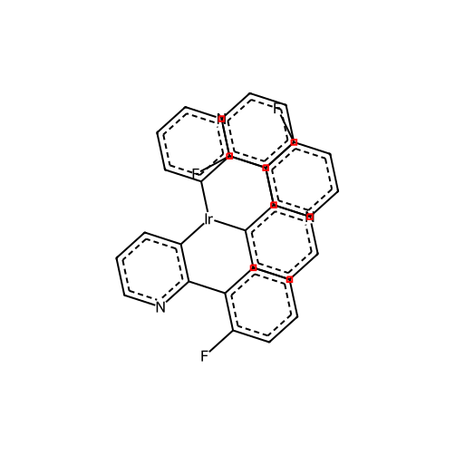 Fc1ccccc1-c1nccc[c]1[Ir]([c]1cccnc1-c1ccccc1F)[c]1cccnc1-c1ccccc1F